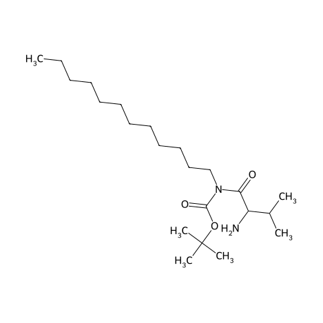 CCCCCCCCCCCCN(C(=O)OC(C)(C)C)C(=O)C(N)C(C)C